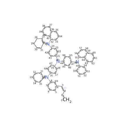 C=C/C=C\c1cccc(N(c2ccccc2)c2ccc(N(c3ccc(N(C4=CCCC=C4)c4cccc5ccccc45)cc3)c3ccc(N(c4ccccc4)c4cccc5ccccc45)cc3)cc2)c1